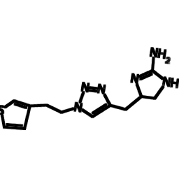 NC1=NC(Cc2cn(CCc3ccsc3)nn2)CN1